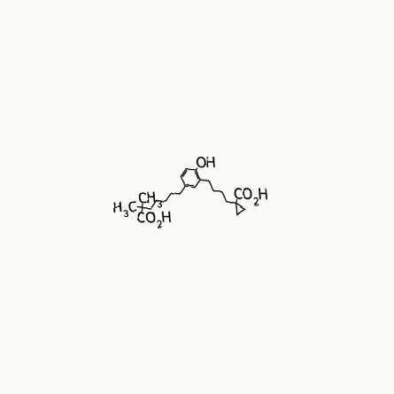 CC(C)(CCCCCc1ccc(O)c(CCCCC2(C(=O)O)CC2)c1)C(=O)O